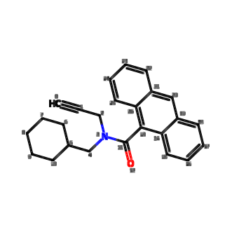 C#CCN(CC1CCCCC1)C(=O)c1c2ccccc2cc2ccccc12